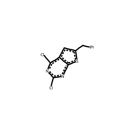 CC(C)Cc1cc2c(Cl)nc(Cl)nc2s1